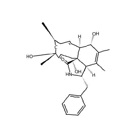 CC1=C(C)[C@H]2[C@H](Cc3ccccc3)NC(=O)[C@]23[C@H](O)/C=C/[C@](C)(O)C[C@@H](C)C/C=C/[C@H]3[C@@H]1O